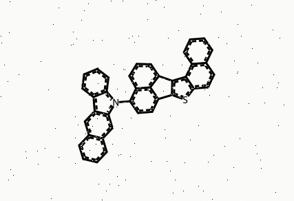 c1ccc2cc3c(cc2c1)c1ccccc1n3-c1ccc2c3c(cccc13)-c1c-2sc2ccc3ccccc3c12